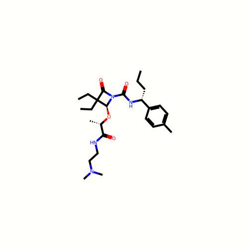 CCC[C@@H](NC(=O)N1C(=O)C(CC)(CC)[C@@H]1O[C@@H](C)C(=O)NCCN(C)C)c1ccc(C)cc1